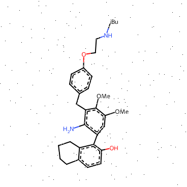 CCC(C)NCCOc1ccc(Cc2c(N)c(-c3c(O)ccc4c3CCCC4)cc(OC)c2OC)cc1